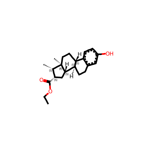 CCOC(=O)[C@H]1C[C@H]2[C@@H]3CCc4cc(O)ccc4[C@H]3CC[C@]2(C)[C@H]1C